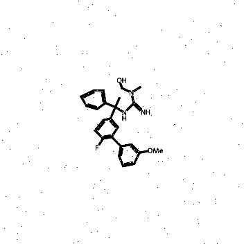 COc1cccc(-c2cc(C(C)(NC(=N)N(C)CO)c3ccccc3)ccc2F)c1